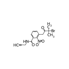 C#CCNC(=O)c1cccc(CC(=O)C(C)(C)Br)c1[N+](=O)[O-]